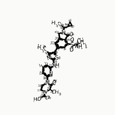 CNS(=O)(=O)c1cc(-c2sc(Nc3cccc(N4CCN(C(=O)O)[C@H](C)C4=O)n3)nc2C)cc2c1C(=O)N(C(C)C1CC1)C2